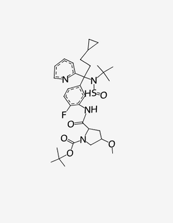 COC1CC(C(=O)Nc2cc(C(CCC3CC3)(c3ccccn3)N([SH]=O)C(C)(C)C)ccc2F)N(C(=O)OC(C)(C)C)C1